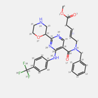 COC(=O)C/C=C/CN(Cc1ccccc1)C(=O)c1cnc(C2CNCCO2)nc1Nc1ccc(C(F)(F)F)cc1